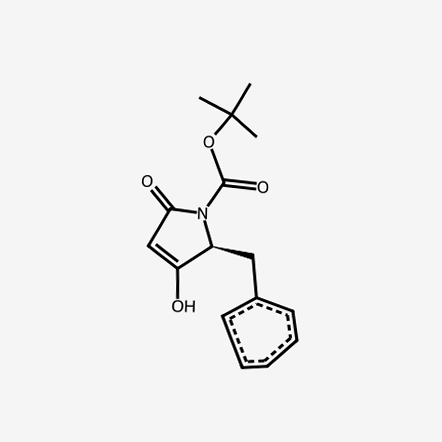 CC(C)(C)OC(=O)N1C(=O)C=C(O)[C@@H]1Cc1ccccc1